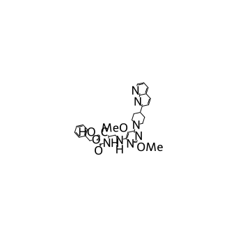 COc1nc(NCC(NC(=O)OCc2ccccc2)C(=O)O)c(OC)c(N2CCC(c3ccc4cccnc4n3)CC2)n1